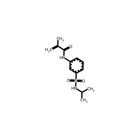 C=C(C)C(=O)Nc1cccc(S(=O)(=O)NC(C)C)c1